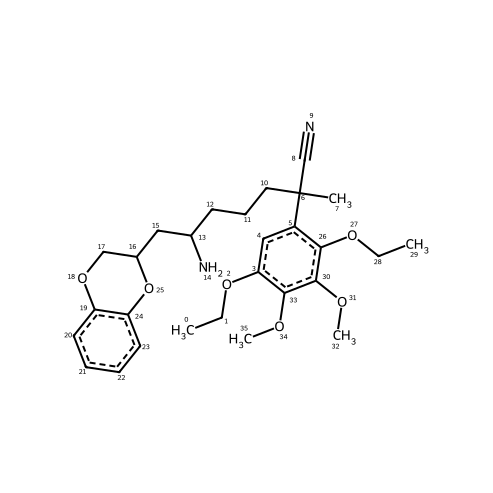 CCOc1cc(C(C)(C#N)CCCC(N)CC2COc3ccccc3O2)c(OCC)c(OC)c1OC